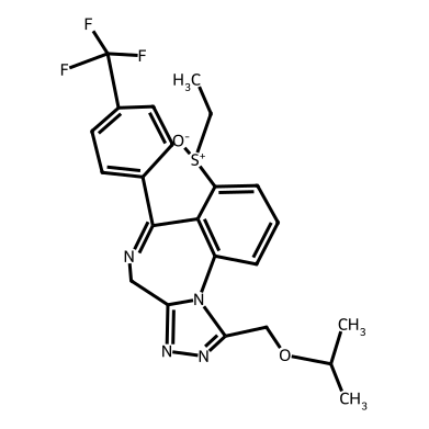 CC[S+]([O-])c1cccc2c1C(c1ccc(C(F)(F)F)cc1)=NCc1nnc(COC(C)C)n1-2